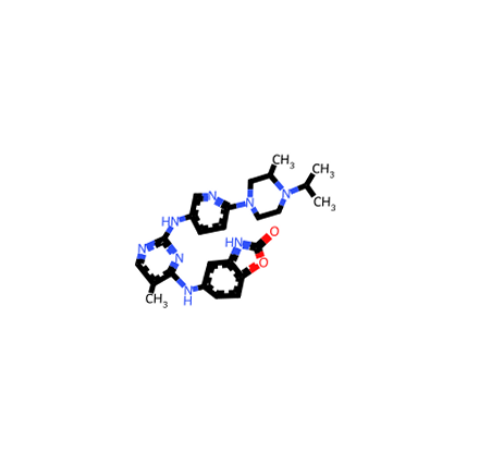 Cc1cnc(Nc2ccc(N3CCN(C(C)C)C(C)C3)nc2)nc1Nc1ccc2oc(=O)[nH]c2c1